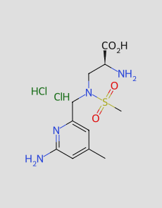 Cc1cc(N)nc(CN(C[C@H](N)C(=O)O)S(C)(=O)=O)c1.Cl.Cl